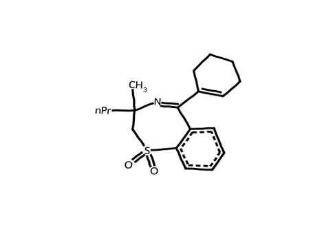 CCCC1(C)CS(=O)(=O)c2ccccc2C(C2=CCCCC2)=N1